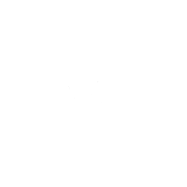 CC1CC(OC(C)C)C1